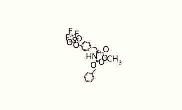 COC(=O)[C@H](Cc1ccc(OS(=O)(=O)C(F)(F)F)cc1)NC(=O)OCc1ccccc1